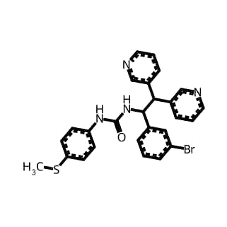 CSc1ccc(NC(=O)NC(c2cccc(Br)c2)C(c2cccnc2)c2cccnc2)cc1